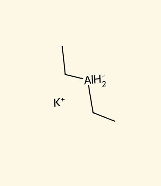 C[CH2][AlH2-][CH2]C.[K+]